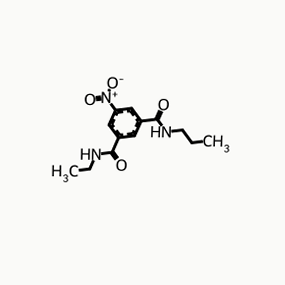 CCCNC(=O)c1cc(C(=O)NCC)cc([N+](=O)[O-])c1